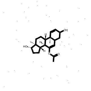 CC(=O)OC1=CC2CC(O)C=C[C@]2(C)[C@H]2CC[C@]3(C)[C@@H](O)CC[C@H]3[C@H]12